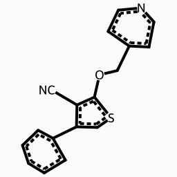 N#Cc1c(-c2ccccc2)csc1OCc1ccncc1